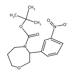 CC(C)(C)OC(=O)N1CCCOCC1c1cccc([N+](=O)[O-])c1